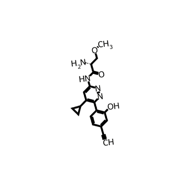 C#Cc1ccc(-c2nnc(NC(=O)[C@H](N)COC)cc2C2CC2)c(O)c1